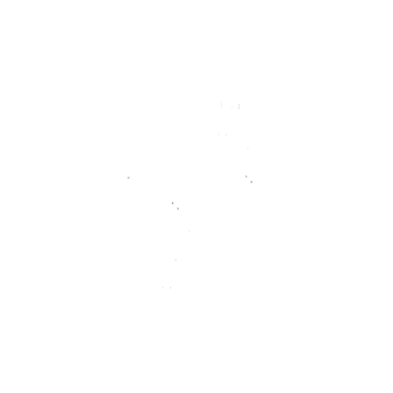 CC(C)(C)OC(=O)NC1CN(OC(C)(C)C)C(=C=O)C12CCCC2